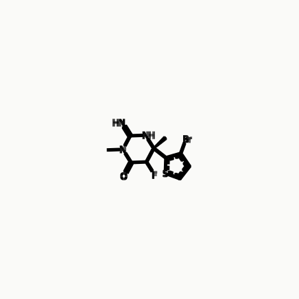 CN1C(=N)N[C@](C)(c2sccc2Br)C(F)C1=O